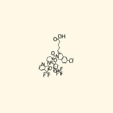 CCC[C@H]1N(C(=O)c2ncccc2C(F)(F)F)CCC[C@@]1(Oc1csc(C(F)(F)F)c1)C(=O)N1Cc2ccc(Cl)cc2C[C@@H]1CCCCC(=O)O